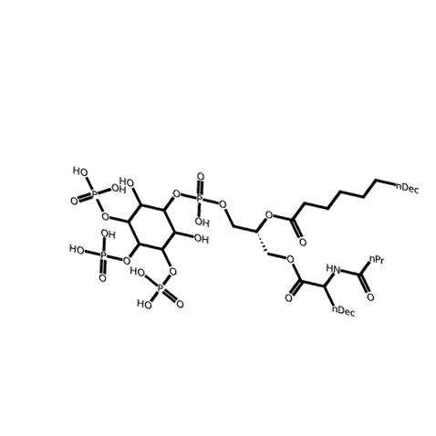 CCCCCCCCCCCCCCCC(=O)O[C@H](COC(=O)C(CCCCCCCCCC)NC(=O)CCC)COP(=O)(O)OC1C(O)C(OP(=O)(O)O)C(OP(=O)(O)O)C(OP(=O)(O)O)C1O